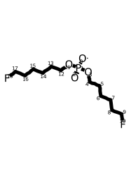 [O]P(=O)(OCCCCCCF)OCCCCCCF